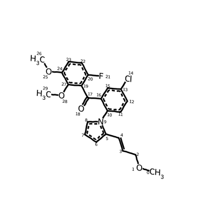 COC/C=C/c1cccn1-c1ccc(Cl)cc1C(=O)c1c(F)ccc(OC)c1OC